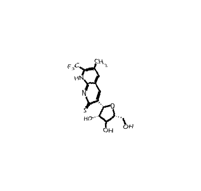 Cc1cc2cc([C@@H]3O[C@H](CO)C(O)[C@@H]3O)c(=S)nc-2[nH]c1C(F)(F)F